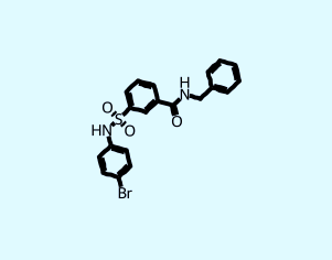 O=C(NCc1ccccc1)c1cccc(S(=O)(=O)Nc2ccc(Br)cc2)c1